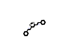 C(=C\c1cc(/C=C/c2ccccc2)ncn1)/c1ccccc1